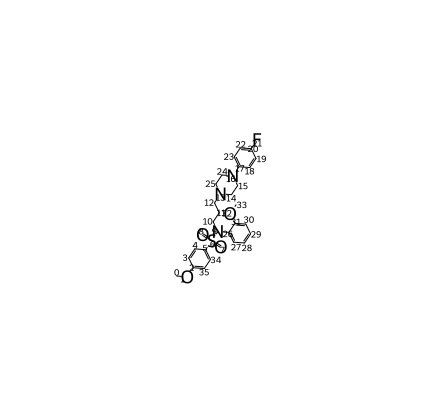 COc1ccc(S(=O)(=O)N(CCCN2CCN(c3ccc(F)cc3)CC2)c2ccccc2OC)cc1